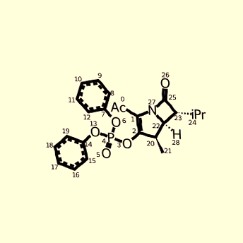 CC(=O)C1=C(OP(=O)(Oc2ccccc2)Oc2ccccc2)[C@H](C)[C@@H]2[C@@H](C(C)C)C(=O)N12